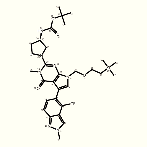 Cn1cc2c(Cl)c(-c3cn(COCC[Si](C)(C)C)c4nc(N5CC[C@@H](NC(=O)OC(C)(C)C)C5)n(C)c(=O)c34)ccc2n1